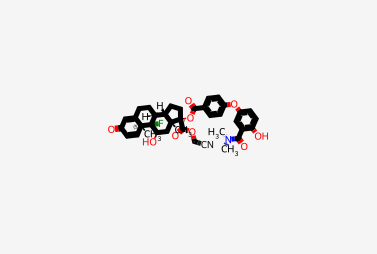 CN(C)C(=O)c1cc(Oc2ccc(C(=O)O[C@@]3(C(=O)OCC#N)CC[C@H]4[C@@H]5CCC6=CC(=O)C=C[C@]6(C)C5(F)[C@@H](O)C[C@@]43C)cc2)ccc1O